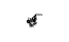 CCN(C(=O)c1ccccc1CON(O)O)[C@H]1CN(CCCOC)S(=O)(=O)c2sc([S+](N)[O-])cc21